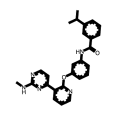 CNc1nccc(-c2cccnc2Oc2cccc(NC(=O)c3cccc(C(C)C)c3)c2)n1